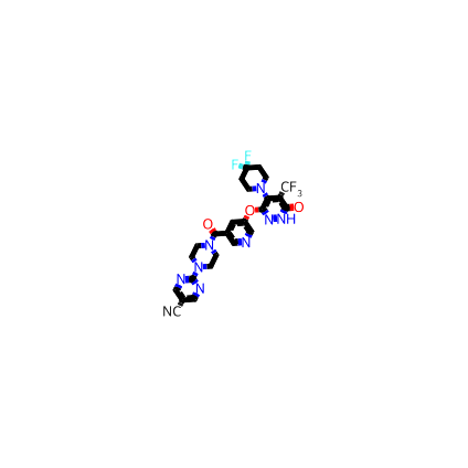 N#Cc1cnc(N2CCN(C(=O)c3cncc(Oc4n[nH]c(=O)c(C(F)(F)F)c4N4CCC(F)(F)CC4)c3)CC2)nc1